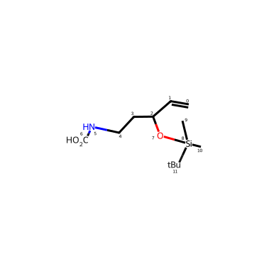 C=CC(CCNC(=O)O)O[Si](C)(C)C(C)(C)C